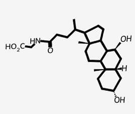 CC(CCC(=O)NCC(=O)O)C1CCC2C3C(CC[C@]12C)[C@@]1(C)CC[C@@H](O)C[C@H]1C[C@@H]3O